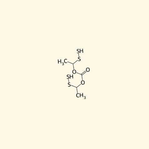 CC(OC(=O)OC(C)SS)SS